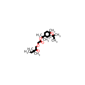 CCC(C)(C)OC1(C)CCC(C(C)(C)OC(=O)COCC(=O)C(C)(C)CC)CC1